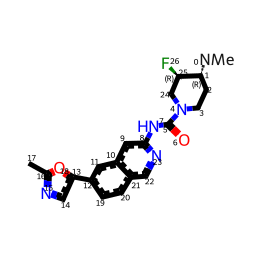 CN[C@@H]1CCN(C(=O)Nc2cc3cc(-c4cnc(C)o4)ccc3cn2)C[C@H]1F